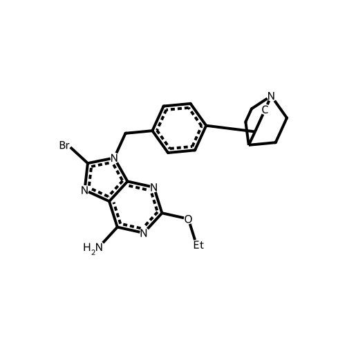 CCOc1nc(N)c2nc(Br)n(Cc3ccc(C4CN5CCC4CC5)cc3)c2n1